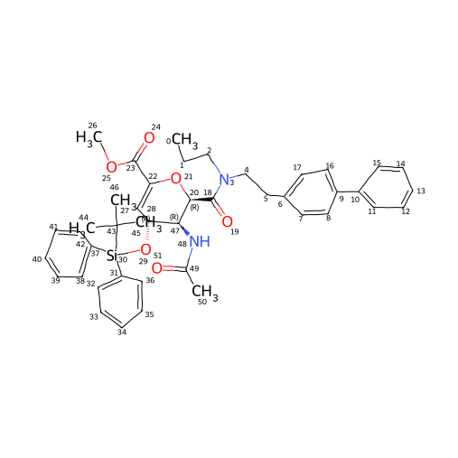 CCCN(CCc1ccc(-c2ccccc2)cc1)C(=O)[C@@H]1OC(C(=O)OC)=C[C@@H](O[Si](c2ccccc2)(c2ccccc2)C(C)(C)C)[C@@H]1NC(C)=O